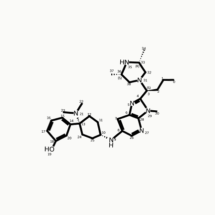 CCC[C@@H](c1nc2cc(N[C@H]3CC[C@@](c4cccc(O)c4)(N(C)C)CC3)cnc2n1C)N1C[C@@H](C)N[C@@H](C)C1